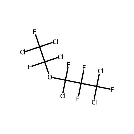 FC(Cl)(Cl)C(F)(Cl)OC(F)(Cl)C(F)(F)C(F)(Cl)Cl